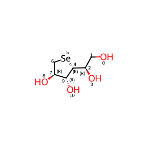 OC[C@@H](O)[C@H]1[Se]C[C@H](O)[C@H]1O